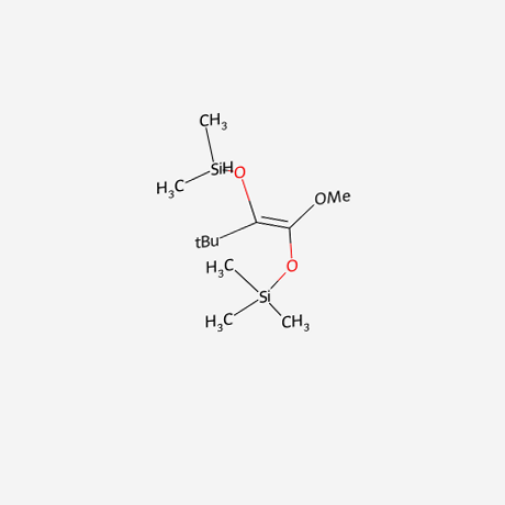 COC(O[Si](C)(C)C)=C(O[SiH](C)C)C(C)(C)C